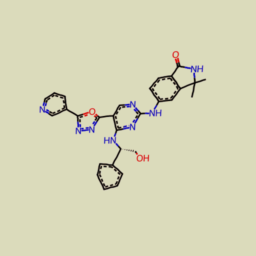 CC1(C)NC(=O)c2ccc(Nc3ncc(-c4nnc(-c5cccnc5)o4)c(N[C@H](CO)c4ccccc4)n3)cc21